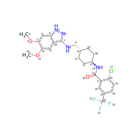 COc1cc2[nH]nc(NC[C@H]3CC[C@H](NC(=O)c4cc(C(F)(F)F)ccc4Cl)CC3)c2cc1OC